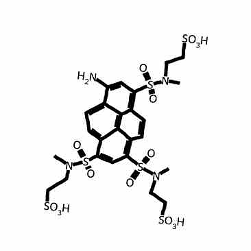 CN(CCS(=O)(=O)O)S(=O)(=O)c1cc(N)c2ccc3c(S(=O)(=O)N(C)CCS(=O)(=O)O)cc(S(=O)(=O)N(C)CCS(=O)(=O)O)c4ccc1c2c34